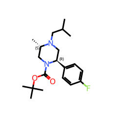 CC(C)CN1C[C@@H](c2ccc(F)cc2)N(C(=O)OC(C)(C)C)C[C@@H]1C